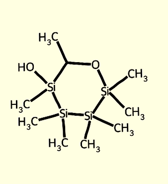 CC1O[Si](C)(C)[Si](C)(C)[Si](C)(C)[Si]1(C)O